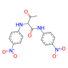 CC(=O)C(Nc1ccc([N+](=O)[O-])cc1)C(=O)Nc1ccc([N+](=O)[O-])cc1